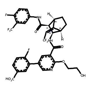 O=C(O)c1ccc(F)c(-c2cnc(OCCO)c(C(=O)N[C@H]3[C@@H](C(=O)Nc4ccc(F)c(C(F)(F)F)c4)[C@H]4CC[C@@H]3/C4=C\C(F)(F)F)c2)c1